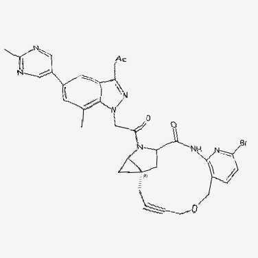 CC(=O)c1nn(CC(=O)N2C3C[C@@]4(CC#CCOCc5ccc(Br)nc5NC3=O)CC24)c2c(C)cc(-c3cnc(C)nc3)cc12